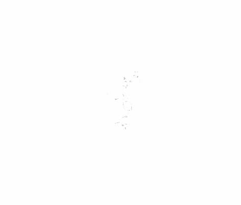 CC1=C(C=Cc2cccc(C(=O)C(C)(C)CNC(=O)OC(C)(C)C)c2)C(C)(C)CCC1